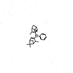 CC1C(B(C2=CC3CC(C2C)C3(C)C)c2ccccc2)=CC2CC1C2(C)C